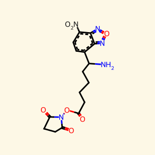 NC(CCCCC(=O)ON1C(=O)CCC1=O)c1ccc([N+](=O)[O-])c2nonc12